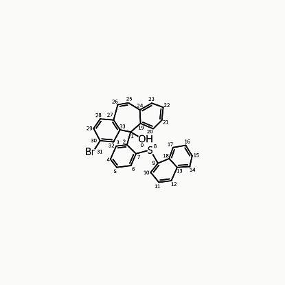 OC1(c2ccccc2Sc2cccc3ccccc23)c2ccccc2C=Cc2ccc(Br)cc21